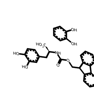 O=C(N[C@@H](Cc1ccc(O)c(O)c1)C(=O)O)OCC1c2ccccc2-c2ccccc21.Oc1ccccc1O